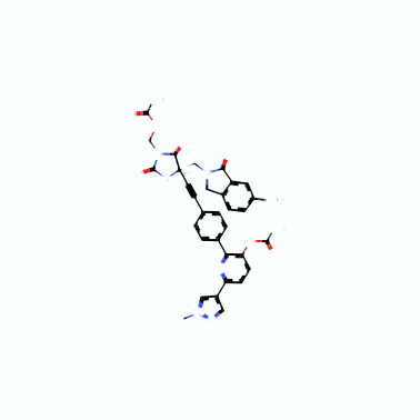 COc1ccc2c(c1)C(=O)N(C[C@@]1(C#Cc3ccc(-c4nc(-c5cnn(C)c5)ccc4OC(=O)C(C)(C)C)cc3)NC(=O)N(COC(=O)C(C)(C)C)C1=O)C2